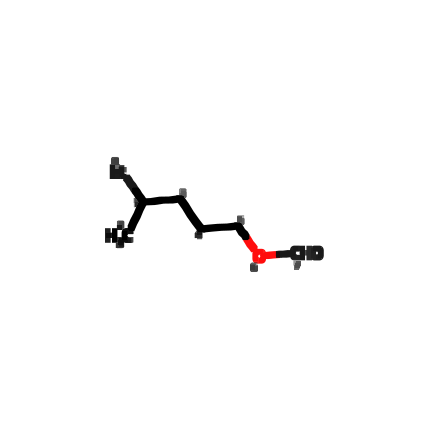 CCC(C)CCCOC=O